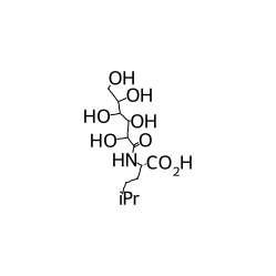 CC(C)CC[C@H](NC(=O)C(O)C(O)C(O)C(O)CO)C(=O)O